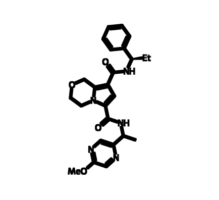 CC[C@@H](NC(=O)c1cc(C(=O)NC(C)c2cnc(OC)cn2)n2c1COCC2)c1ccccc1